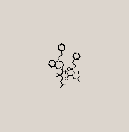 CC(C)CCC(=O)C(NC(=O)[C@H](CC(C)C)NC(=O)OCc1ccccc1)N1CCN(CCc2ccccc2)c2ccccc2C1